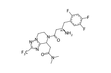 CN(C)C(=O)CC1c2nc(C(F)(F)F)nn2CCN1C(=O)C[C@H](N)Cc1cc(F)c(F)cc1F